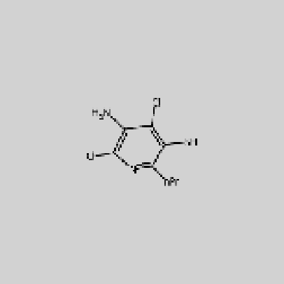 CCCc1nc(Cl)c(N)c(Cl)c1S